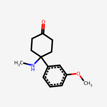 CNC1(c2cccc(OC)c2)CCC(=O)CC1